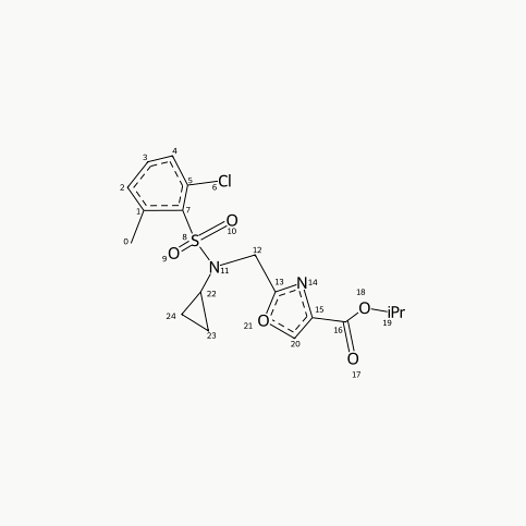 Cc1cccc(Cl)c1S(=O)(=O)N(Cc1nc(C(=O)OC(C)C)co1)C1CC1